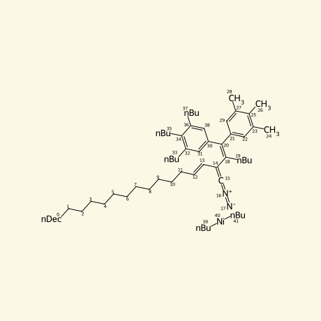 CCCCCCCCCCCCCCCCCCCCCC=CC(=C=[N+]=[N-])C(CCCC)=C(c1cc(C)c(C)c(C)c1)c1cc(CCCC)c(CCCC)c(CCCC)c1.CCC[CH2][Ni][CH2]CCC